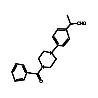 CC(C=O)c1ccc(N2CCN(C(=O)c3ccccc3)CC2)cc1